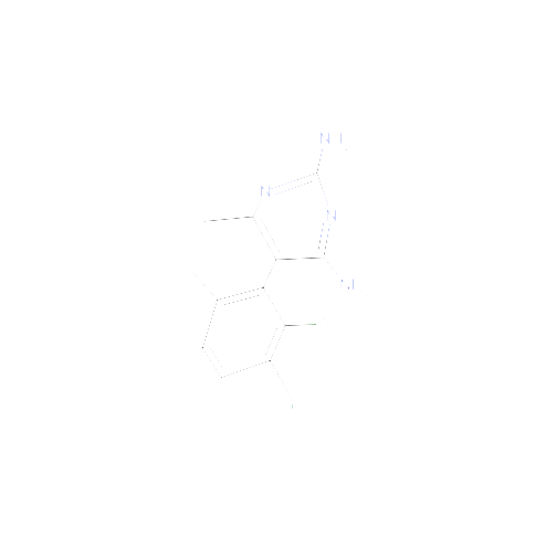 Cc1nc(N)nc(N)c1-c1c(Cl)ccc(Cl)c1Cl